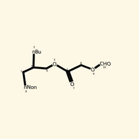 CCCCCCCCCCC(CCCC)COC(=O)COC=O